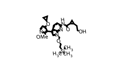 COc1nccc(OC2CC2)c1-c1cn(COCC[Si](C)(C)C)c2nc(NC(=O)C3CC3CCO)ccc12